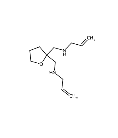 C=CCNCC1(CNCC=C)CCCO1